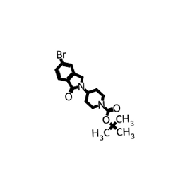 CC(C)(C)OC(=O)N1CCC(N2Cc3cc(Br)ccc3C2=O)CC1